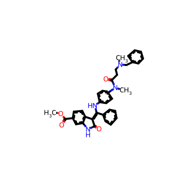 COC(=O)c1ccc2c(c1)NC(=O)C2=C(Nc1ccc(N(C)C(=O)CCN(C)Cc2ccccc2)cc1)c1ccccc1